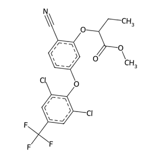 CCC(Oc1cc(Oc2c(Cl)cc(C(F)(F)F)cc2Cl)ccc1C#N)C(=O)OC